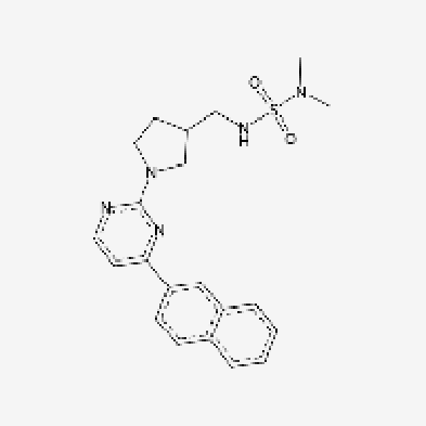 CN(C)S(=O)(=O)NCC1CCN(c2nccc(-c3ccc4ccccc4c3)n2)C1